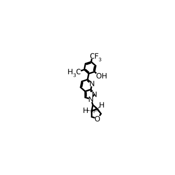 Cc1cc(C(F)(F)F)cc(O)c1-c1ccc2cn(C3[C@H]4COC[C@@H]34)nc2n1